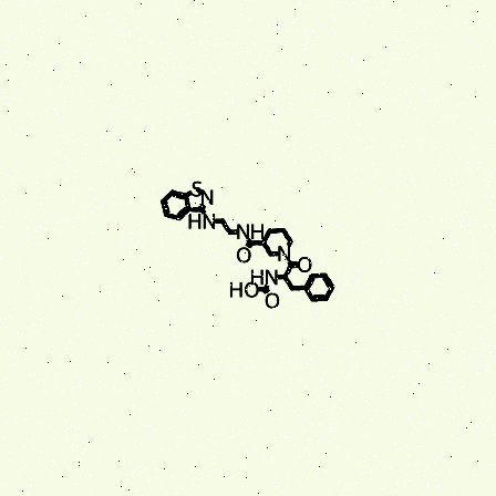 O=C(O)NC(Cc1ccccc1)C(=O)N1CCCC(C(=O)NCCNc2nsc3ccccc23)C1